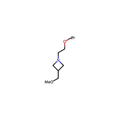 COCC1CN(CCOC(C)C)C1